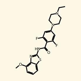 CCN1CCN(c2cc(F)c(C(=O)Nc3nc4c(OC)cccc4s3)c(F)c2)CC1